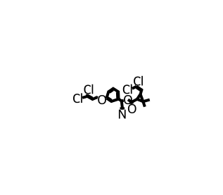 CC1(C)C(C=C(Cl)Cl)C1C(=O)OC(C#N)c1cccc(OCC=C(Cl)Cl)c1